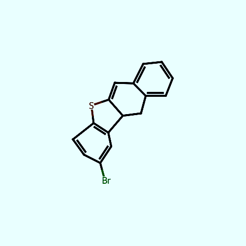 Brc1ccc2c(c1)C1Cc3ccccc3C=C1S2